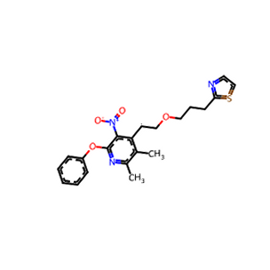 Cc1nc(Oc2ccccc2)c([N+](=O)[O-])c([CH]COCCCc2nccs2)c1C